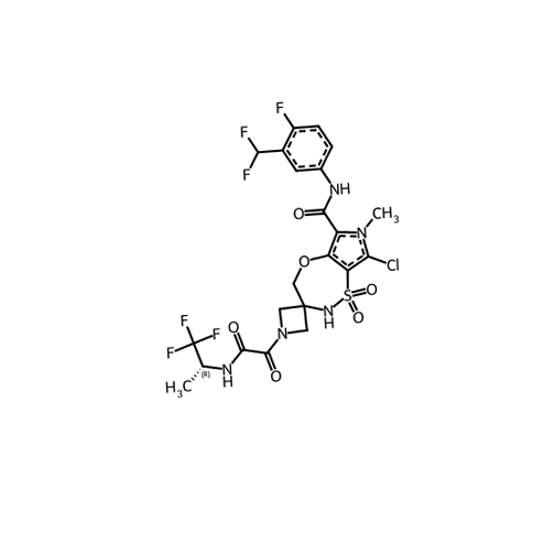 C[C@@H](NC(=O)C(=O)N1CC2(COc3c(c(Cl)n(C)c3C(=O)Nc3ccc(F)c(C(F)F)c3)S(=O)(=O)N2)C1)C(F)(F)F